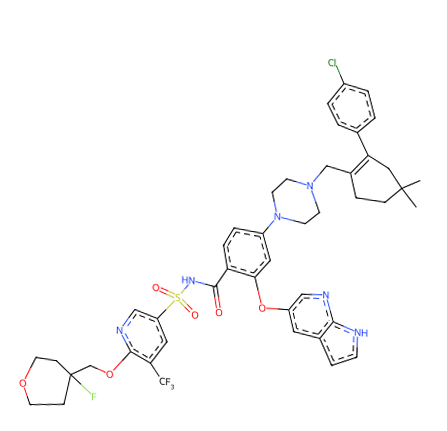 CC1(C)CCC(CN2CCN(c3ccc(C(=O)NS(=O)(=O)c4cnc(OCC5(F)CCOCC5)c(C(F)(F)F)c4)c(Oc4cnc5[nH]ccc5c4)c3)CC2)=C(c2ccc(Cl)cc2)C1